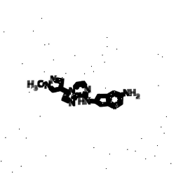 CN1CC(c2cnc3c(NC4Cc5ccc(N)cc5C4)nccn23)C=N1